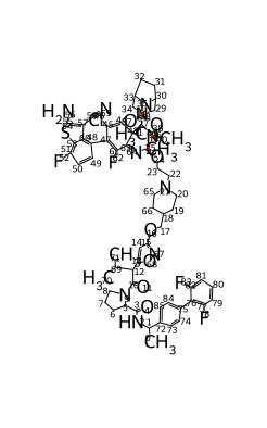 CC(NC(=O)C1CCCN1C(=O)C(c1cc(OCC2CCN(CCOc3nc(N4CC5CCC(C4)N5C(=O)OC(C)(C)C)c4cc(Cl)c(-c5ccc(F)c6sc(N)c(C#N)c56)c(F)c4n3)CC2)no1)C(C)C)c1ccc(-c2c(F)cccc2F)cc1